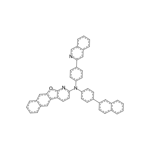 c1ccc2cc(-c3ccc(N(c4ccc(-c5cc6ccccc6cn5)cc4)c4ccc5c(n4)oc4cc6ccccc6cc45)cc3)ccc2c1